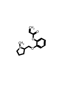 C=CC(=O)Oc1ccccc1OCC1CCCN1C